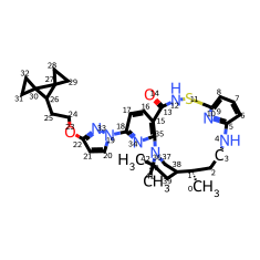 C[C@H]1CCNc2cccc(n2)SNC(=O)c2ccc(-n3ccc(OCCC4C5(CC5)C45CC5)n3)nc2N2CC1CC2(C)C